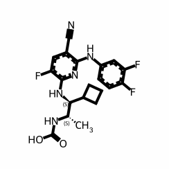 C[C@H](NC(=O)O)[C@@H](Nc1nc(Nc2ccc(F)c(F)c2)c(C#N)cc1F)C1CCC1